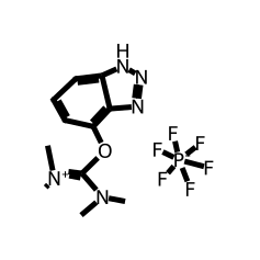 CN(C)C(Oc1cccc2[nH]nnc12)=[N+](C)C.F[P-](F)(F)(F)(F)F